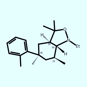 CCN1OC(C)(C)[C@@H]2C[C@](C)(c3ccccc3C)C[C@H](C)[C@H]21